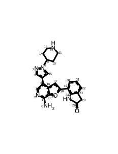 Nc1ncc(-c2cnn(C3CCNCC3)c2)c2cc(-c3cccc4c3NC(=O)C4)oc12